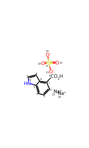 O=C(O)c1cccc2[nH]ccc12.O=S(=O)([O-])[O-].[Na+].[Na+]